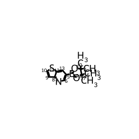 CC1(C)OB(c2cnc3ccsc3c2)OC1(C)C